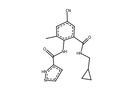 Cc1cc(C#N)cc(C(=O)NCC2CC2)c1NC(=O)c1ccn[nH]1